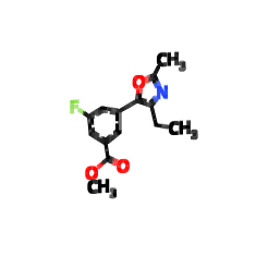 CCc1nc(C)oc1-c1cc(F)cc(C(=O)OC)c1